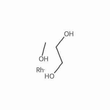 CO.OCCO.[Rh]